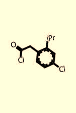 CC(C)c1cc(Cl)ccc1CC(=O)Cl